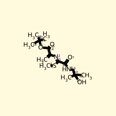 C=C(/N=C(\SC)C(=O)NCC(C)(C)O)C(=O)OC(C)(C)C